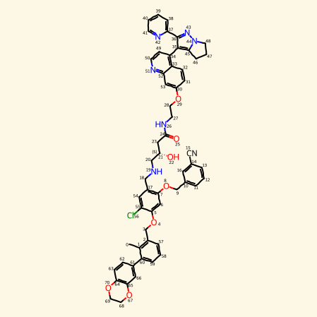 Cc1c(COc2cc(OCc3cccc(C#N)c3)c(CNC[C@@H](O)CC(=O)NCCOc3ccc4c(-c5c(-c6ccccn6)nn6c5CCC6)ccnc4c3)cc2Cl)cccc1-c1ccc2c(c1)OCCO2